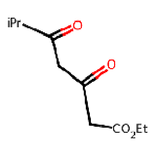 CCOC(=O)CC(=O)CC(=O)C(C)C